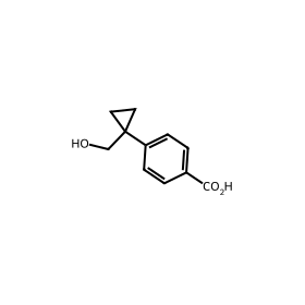 O=C(O)c1ccc(C2(CO)CC2)cc1